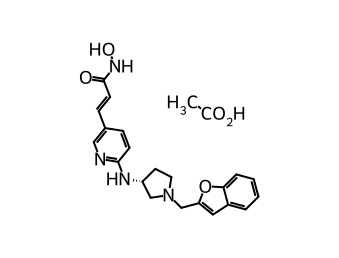 CC(=O)O.O=C(C=Cc1ccc(N[C@@H]2CCN(Cc3cc4ccccc4o3)C2)nc1)NO